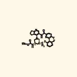 C[C@@H]1C[C@H](NC(=O)OC(C)(C)C)CN(c2c(NC(=O)c3ccc(F)c(-c4c(F)cccc4F)n3)cnc3c2CCC3)C1